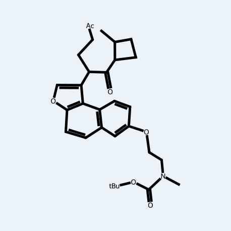 CC(=O)CCC(C(=O)C1CCC1C)c1coc2ccc3cc(OCCN(C)C(=O)OC(C)(C)C)ccc3c12